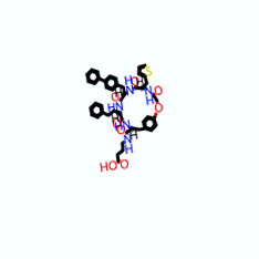 O=C(O)CCCNC(=O)[C@@H]1Cc2ccc(cc2)OCC(=O)N[C@H](Cc2cccs2)C(=O)N[C@@H](Cc2ccc(-c3ccccc3)cc2)C(=O)N[C@H](CCc2ccccc2)C(=O)N1